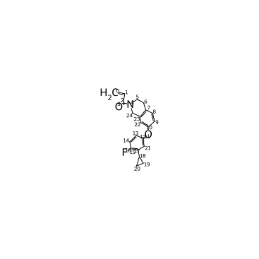 C=CC(=O)N1CCc2ccc(Oc3ccc(F)c(C4CC4)c3)cc2C1